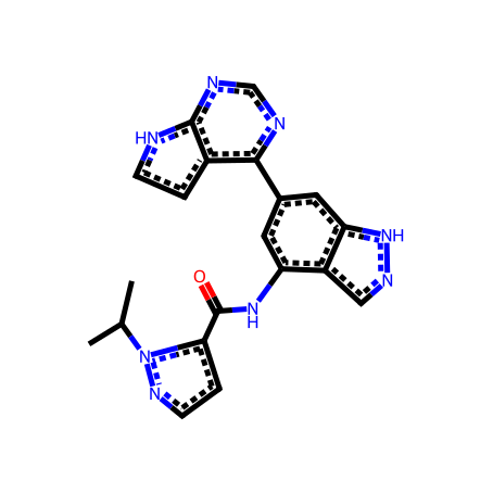 CC(C)n1nccc1C(=O)Nc1cc(-c2ncnc3[nH]ccc23)cc2[nH]ncc12